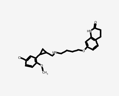 COc1ccc(Cl)cc1C1CC1CNCCCCOc1ccc2c(c1)NC(=O)CC2